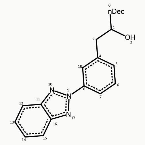 CCCCCCCCCCC(O)Cc1cccc(-n2nc3ccccc3n2)c1